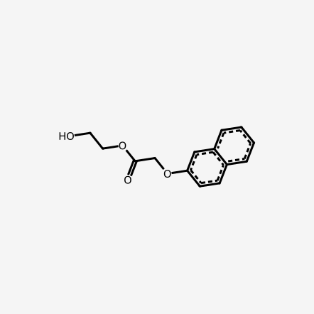 O=C(COc1ccc2ccccc2c1)OCCO